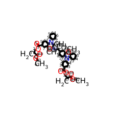 C=C(COC(=O)c1ccc(N(C(=C)/C(=C\C(=C)c2ccc(N(c3ccccc3)c3ccc(C(=O)OCC(=C)C(=O)OCC)cc3)c(OC)c2)OC)c2ccccc2)cc1)C(=O)OCC